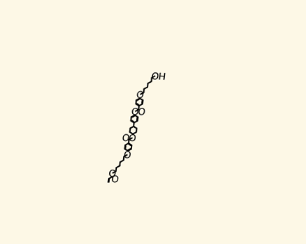 C=CC(=O)OCCCCCCOc1ccc(C(=O)OC2CCC(c3ccc(OC(=O)c4ccc(OCCCCCCO)cc4)cc3)CC2)cc1